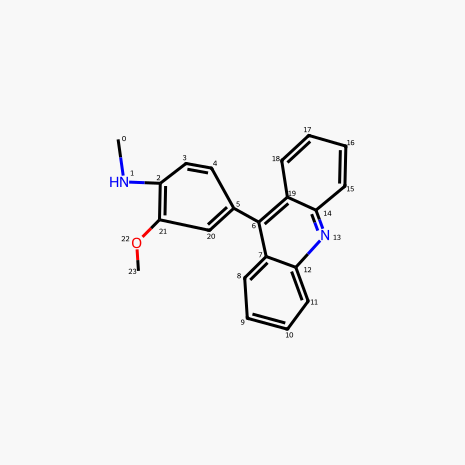 CNc1ccc(-c2c3ccccc3nc3ccccc23)cc1OC